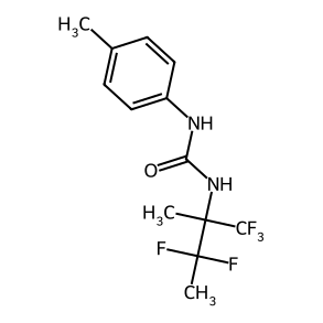 Cc1ccc(NC(=O)NC(C)(C(C)(F)F)C(F)(F)F)cc1